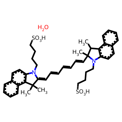 CC1c2c(ccc3ccccc23)N(CCCCS(=O)(=O)O)C1(C)C=CC=CC=CC=C1N(CCCCS(=O)(=O)O)c2ccc3ccccc3c2C1(C)C.O